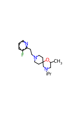 CC1CN(C(C)C)CC2(CCN(CCc3ncccc3F)CC2)O1